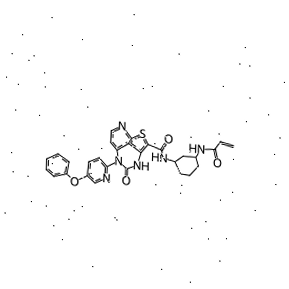 C=CC(=O)NC1CCCC(NC(=O)c2sc3nccc4c3c2NC(=O)N4c2ccc(Oc3ccccc3)cn2)C1